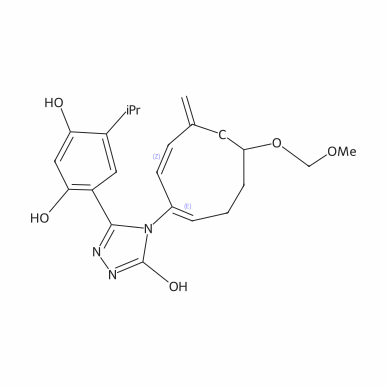 C=C1/C=C\C(n2c(O)nnc2-c2cc(C(C)C)c(O)cc2O)=C/CCC(OCOC)C1